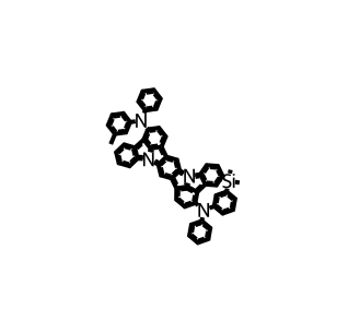 Cc1cccc(N(c2ccccc2)c2ccc3c4cc5c(cc4n4c6ccccc6c2c34)c2ccc(N(c3ccccc3)c3cccc([Si](C)(C)C)c3)c3c4ccccc4n5c23)c1